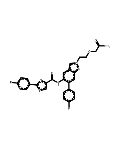 NC(=O)COCCn1cc2cc(NC(=O)c3csc(-c4ccc(F)nc4)n3)c(-c3ccc(F)cc3)cc2n1